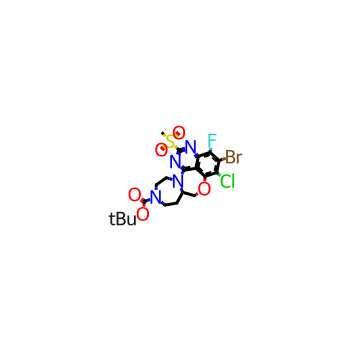 CC(C)(C)OC(=O)N1CCC2COc3c(Cl)c(Br)c(F)c4nc(S(C)(=O)=O)nc(c34)N2CC1